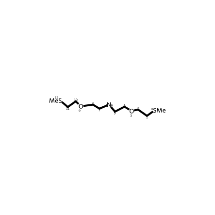 CSCCOCC[N]CCOCCSC